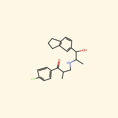 CC(CNC(C)C(O)c1ccc2c(c1)CCC2)C(=O)c1ccc(F)cc1